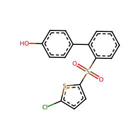 O=S(=O)(c1ccc(Cl)s1)c1ccccc1-c1ccc(O)cc1